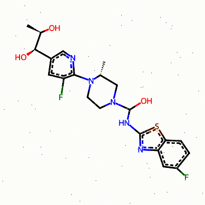 C[C@@H]1CN(C(O)Nc2nc3cc(F)ccc3s2)CCN1c1ncc([C@@H](O)[C@@H](C)O)cc1F